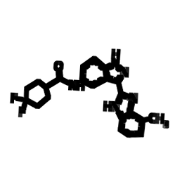 Cc1cccc2[nH]c(-c3n[nH]c4ccc(NC(=O)C5CCC(F)(F)CC5)cc34)nc12